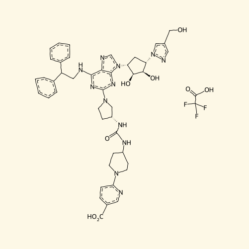 O=C(NC1CCN(c2ccc(C(=O)O)cn2)CC1)N[C@@H]1CCN(c2nc(NCC(c3ccccc3)c3ccccc3)c3ncn([C@@H]4C[C@H](n5cc(CO)cn5)[C@@H](O)[C@H]4O)c3n2)C1.O=C(O)C(F)(F)F